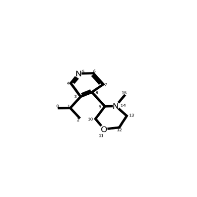 CC(C)c1cnccc1C1COCCN1C